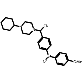 COc1ccc([S+]([O-])c2ccc(C(C#N)N3CCN(C4CCCCC4)CC3)cc2)cc1